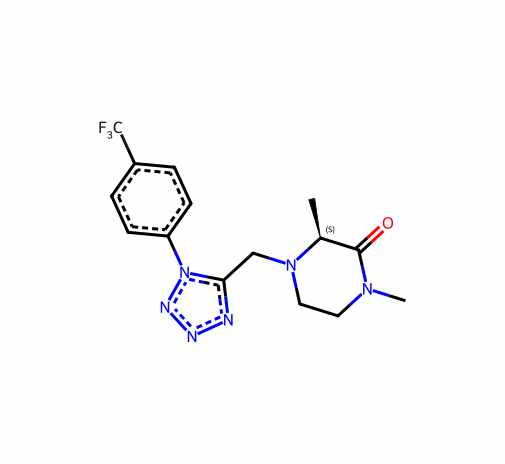 C[C@H]1C(=O)N(C)CCN1Cc1nnnn1-c1ccc(C(F)(F)F)cc1